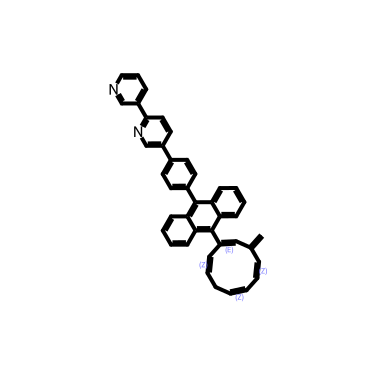 C=C1/C=C\C=C/C/C=C\C(c2c3ccccc3c(-c3ccc(-c4ccc(-c5cccnc5)nc4)cc3)c3ccccc23)=C/1